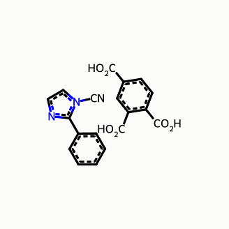 N#Cn1ccnc1-c1ccccc1.O=C(O)c1ccc(C(=O)O)c(C(=O)O)c1